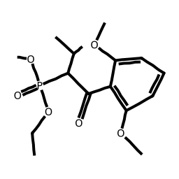 CCOP(=O)(OC)C(C(=O)c1c(OC)cccc1OC)C(C)C